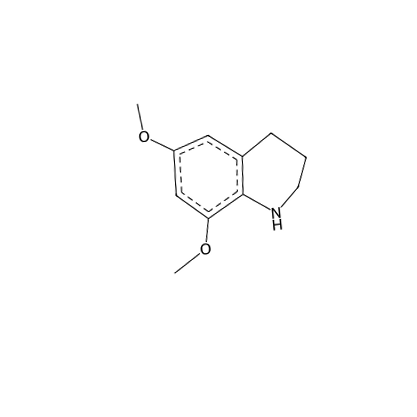 COc1cc2c(c(OC)c1)NCCC2